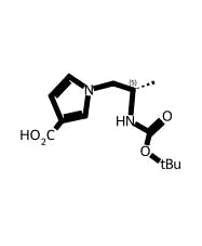 C[C@@H](Cn1ccc(C(=O)O)c1)NC(=O)OC(C)(C)C